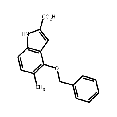 Cc1ccc2[nH]c(C(=O)O)cc2c1OCc1ccccc1